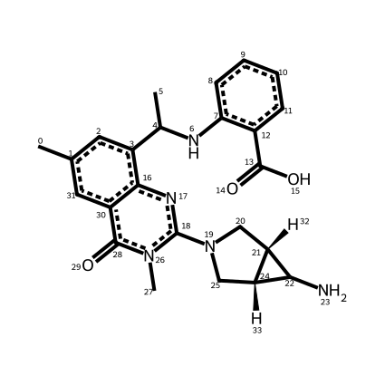 Cc1cc(C(C)Nc2ccccc2C(=O)O)c2nc(N3C[C@@H]4C(N)[C@@H]4C3)n(C)c(=O)c2c1